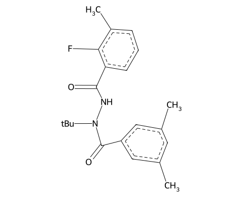 Cc1cc(C)cc(C(=O)N(NC(=O)c2cccc(C)c2F)C(C)(C)C)c1